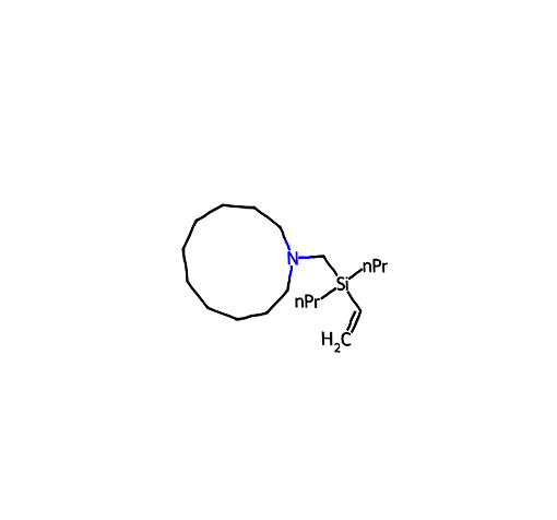 C=C[Si](CCC)(CCC)CN1CCCCCCCCCC1